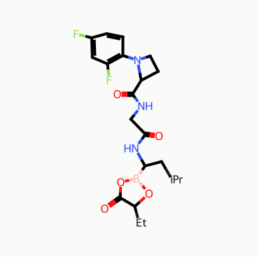 CCC1OB(C(CC(C)C)NC(=O)CNC(=O)C2CCN2c2ccc(F)cc2F)OC1=O